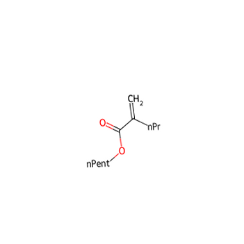 C=C(CCC)C(=O)OCCCCC